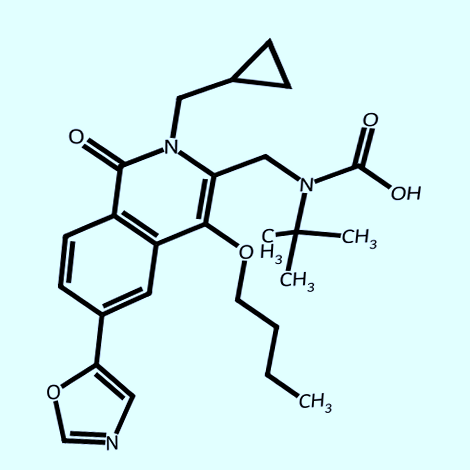 CCCCOc1c(CN(C(=O)O)C(C)(C)C)n(CC2CC2)c(=O)c2ccc(-c3cnco3)cc12